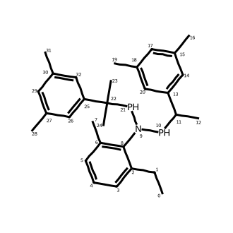 CCc1cccc(C)c1N(PC(C)c1cc(C)cc(C)c1)PC(C)(C)c1cc(C)cc(C)c1